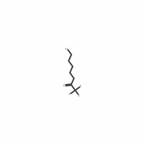 O=C(CCCCCCl)C(F)(F)F